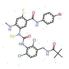 CNc1cc(F)c(C(=O)Nc2ccc(Br)cc2)cc1N(S)C(=O)Nc1c(Cl)ccc(CNC(=O)C(C)(C)C)c1Cl